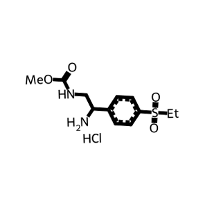 CCS(=O)(=O)c1ccc(C(N)CNC(=O)OC)cc1.Cl